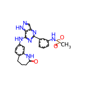 CS(=O)(=O)Nc1cccc(-c2nc(Nc3ccc4c(c3)NC(=O)CCC4)c3[nH]ncc3n2)c1